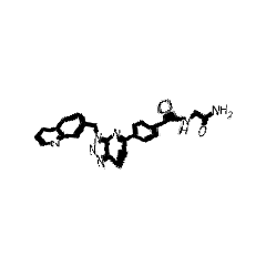 NC(=O)CNC(=O)c1ccc(-c2ccc3nnn(Cc4ccc5cccnc5c4)c3n2)cc1